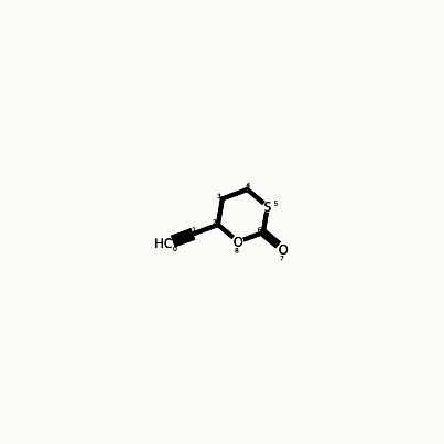 C#CC1CCSC(=O)O1